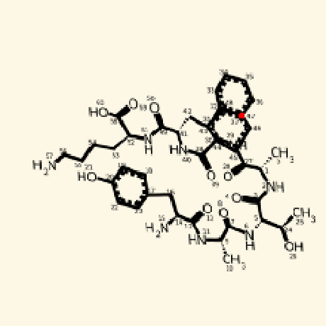 C[C@H](NC(=O)[C@@H](NC(=O)[C@H](C)NC(=O)[C@@H](N)Cc1ccc(O)cc1)[C@@H](C)O)C(=O)N[C@@H](Cc1ccccc1)C(=O)N[C@@H](Cc1ccccc1)C(=O)N[C@@H](CCCCN)C(=O)O